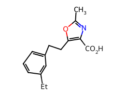 CCc1cccc(CCc2oc(C)nc2C(=O)O)c1